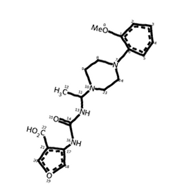 COc1ccccc1N1CCN(C(C)NC(=O)Nc2cocc2C(=O)O)CC1